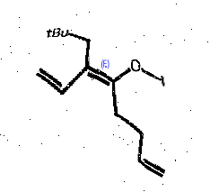 C=CCC/C(OI)=C(\C=C)CC(C)(C)C